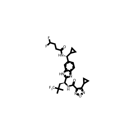 CC(C)(C[C@H](NC(=O)c1nonc1C1CC1)c1nc2ccc([C@H](NC(=O)CCC(F)F)C3CC3)cc2[nH]1)C(F)(F)F